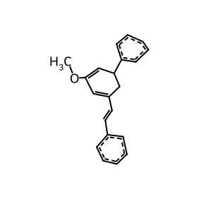 COC1=CC(c2ccccc2)CC(C=Cc2ccccc2)=C1